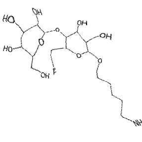 NCCCCCOC1OC(CF)C(OC2OC(CO)C(O)C(O)C2O)C(O)C1O